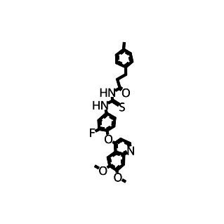 COc1cc2nccc(Oc3ccc(NC(=S)NC(=O)CCc4ccc(C)cc4)cc3F)c2cc1OC